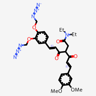 CCN(CC)C(=O)CC(C(=O)/C=C/c1ccc(OC)c(OC)c1)C(=O)/C=C/c1ccc(OCN=[N+]=[N-])c(OCN=[N+]=[N-])c1